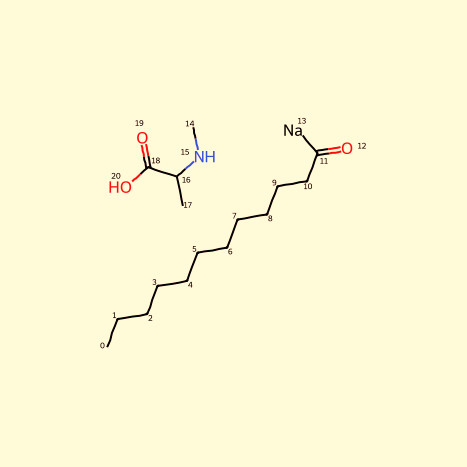 CCCCCCCCCCC[C](=O)[Na].CNC(C)C(=O)O